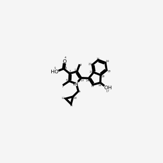 Cc1c(C(=O)O)c(C)n(CC2CC2)c1C1=CC(O)c2ccccc21